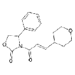 O=C(C=CC1CCOCC1)N1C(=O)OCC1c1ccccc1